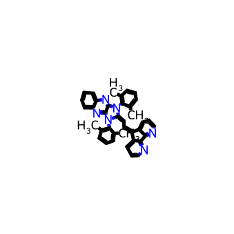 Cc1cccc(C)c1N1C(=CC=C2c3cccnc3-c3ncccc32)N(c2c(C)cccc2C)c2nc3ccccc3nc21